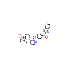 CC(=O)N1CCCC(c2cccnc2Oc2ccc(C(=O)c3nc4ccccc4s3)cc2)C1